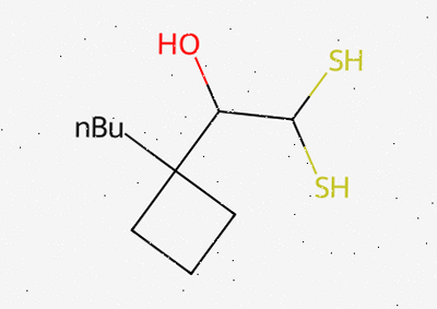 CCCCC1(C(O)C(S)S)CCC1